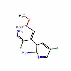 C=C(/C=C(\C(Cl)=C/N)c1cc(F)cnc1N)OC